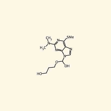 CSc1nc(N(C)C)nc2c1ncn2C(O)OCCCO